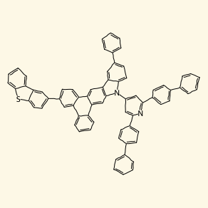 c1ccc(-c2ccc(-c3cc(-n4c5ccc(-c6ccccc6)cc5c5cc6c7ccc(-c8ccc9sc%10ccccc%10c9c8)cc7c7ccccc7c6cc54)cc(-c4ccc(-c5ccccc5)cc4)n3)cc2)cc1